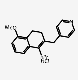 CCCC1=C(Cc2ccncc2)CCc2c(OC)cccc21.Cl